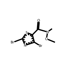 CON(C)C(=O)c1sc(Br)nc1Br